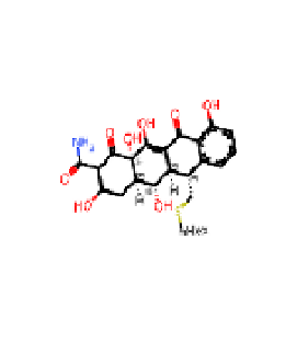 CCCCCCSC[C@H]1c2cccc(O)c2C(=O)C2=C(O)[C@]3(O)C(=O)C(C(N)=O)C(O)C[C@@H]3[C@@H](O)[C@@H]21